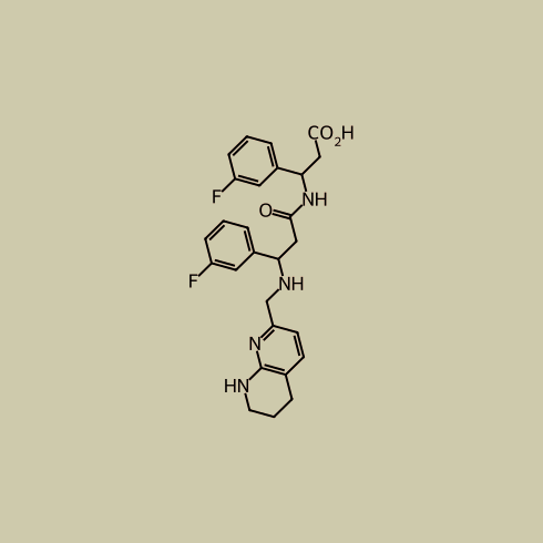 O=C(O)CC(NC(=O)CC(NCc1ccc2c(n1)NCCC2)c1cccc(F)c1)c1cccc(F)c1